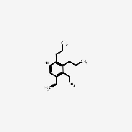 C=Cc1ccc(CCC)c(CCC)c1CC.N